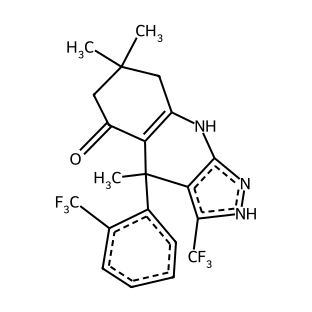 CC1(C)CC(=O)C2=C(C1)Nc1n[nH]c(C(F)(F)F)c1C2(C)c1ccccc1C(F)(F)F